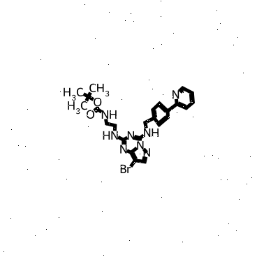 CC(C)(C)OC(=O)NCCNc1nc(NCc2ccc(-c3ccccn3)cc2)n2ncc(Br)c2n1